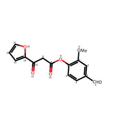 COc1cc(C=O)ccc1OC(=O)CC(=O)c1ccco1